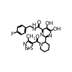 Cc1nnsc1C(=O)N1CCCCC1c1nc(O)c(O)c(C(=O)NCc2ccc(F)cc2)n1